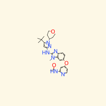 CC(=O)Nc1cc(Oc2ccc3nc(Nc4cc(C(C)(C)C)n(C5CCOCC5)n4)n(C)c3c2)ccn1